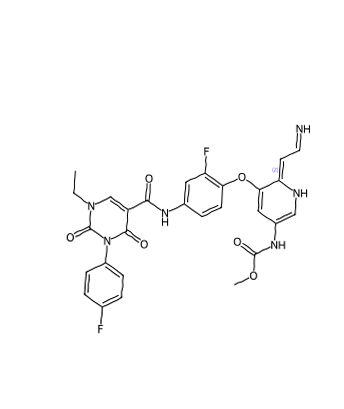 CCn1cc(C(=O)Nc2ccc(OC3=CC(NC(=O)OC)=CN/C3=C\C=N)c(F)c2)c(=O)n(-c2ccc(F)cc2)c1=O